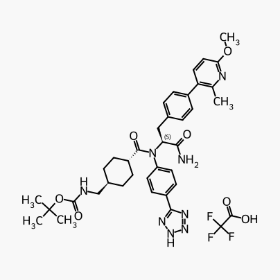 COc1ccc(-c2ccc(C[C@@H](C(N)=O)N(c3ccc(-c4nn[nH]n4)cc3)C(=O)[C@H]3CC[C@H](CNC(=O)OC(C)(C)C)CC3)cc2)c(C)n1.O=C(O)C(F)(F)F